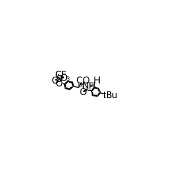 CC(C)(C)c1ccc(C(=O)N[C@@H](Cc2ccc(OS(=O)(=O)C(F)(F)F)cc2)C(=O)O)cc1